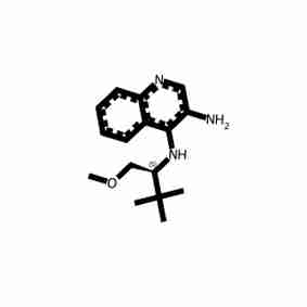 COC[C@@H](Nc1c(N)cnc2ccccc12)C(C)(C)C